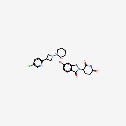 O=C1CCC(N2Cc3cc(O[C@H]4CCCC[C@@H]4N4CC(c5ccc(Cl)cn5)C4)ccc3C2=O)C(=O)N1